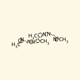 Cc1cc(CCCN2CCN(c3ccc(C)c(-c4cc(N5CCN(CCc6cc(C)on6)CC5)ccc4C)c3)CC2)no1